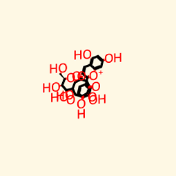 O=C1CC(=O)C2(Oc3cc4c(O)cc(O)cc4[o+]c3-c3ccc(O)c(O)c3)O[C@H](CO)[C@H](O)[C@H](O)[C@]2(O)C(=O)CC1=O